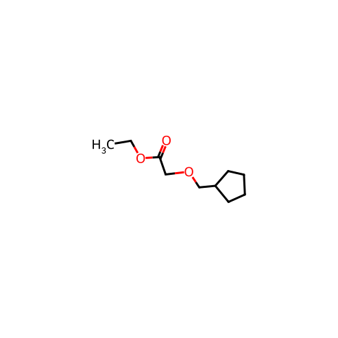 CCOC(=O)COCC1CCCC1